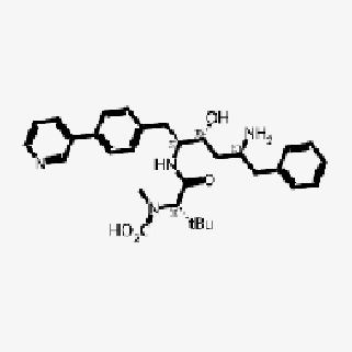 CN(C(=O)O)[C@H](C(=O)N[C@@H](Cc1ccc(-c2cccnc2)cc1)[C@H](O)C[C@@H](N)Cc1ccccc1)C(C)(C)C